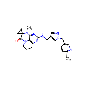 CN1c2nc(NCc3cnn(Cc4ccc(C(F)(F)F)nc4)c3)nc3c2N(CCC3)C(=O)C12CC2